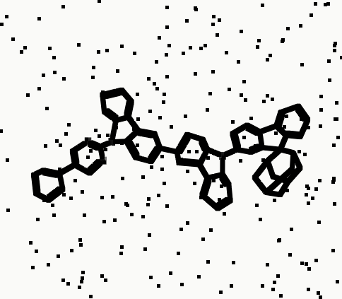 c1ccc(-c2cnc(-n3c4ccccc4c4cc(-c5ccc6c(c5)c5ccccc5n6-c5ccc6c(c5)C5(c7ccccc7-6)C6CC7CC(C6)CC5C7)ccc43)nc2)cc1